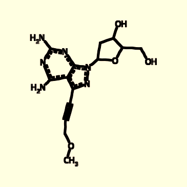 COCC#Cc1nn(C2CC(O)C(CO)O2)c2nc(N)nc(N)c12